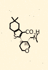 CN(C)C[C@@H]1COCC[C@@H]1c1sc2c(c1C(=O)O)CC(C)(C)CC2